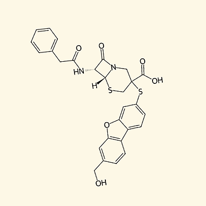 O=C(Cc1ccccc1)N[C@@H]1C(=O)N2CC(Sc3ccc4c(c3)oc3cc(CO)ccc34)(C(=O)O)CS[C@H]12